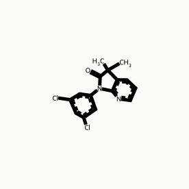 CC1(C)C(=O)N(c2cc(Cl)cc(Cl)c2)c2ncccc21